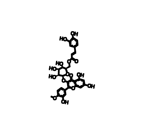 COc1ccc(-c2oc3cc(O)cc(O)c3c(=O)c2O[C@@H]2O[C@H](COC(=O)/C=C/c3ccc(O)c(O)c3)[C@@H](O)[C@H](O)[C@H]2O)cc1O